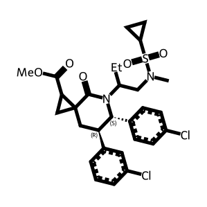 CCC(CN(C)S(=O)(=O)C1CC1)N1C(=O)C2(CC2C(=O)OC)C[C@H](c2cccc(Cl)c2)[C@H]1c1ccc(Cl)cc1